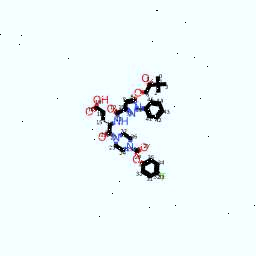 CC(C)(C)C(=O)COc1cc(C(=O)N[C@@H](CCC(=O)O)C(=O)N2CCN(C(=O)Oc3ccc(F)cc3)CC2)nn1-c1ccccc1